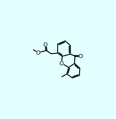 COC(=O)Cc1cccc2c(=O)c3cccc(C)c3oc12